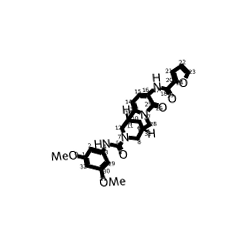 COc1cc(NC(=O)N2C[C@@H]3C[C@H](C2)c2ccc(NC(=O)c4ccco4)c(=O)n2C3)cc(OC)c1